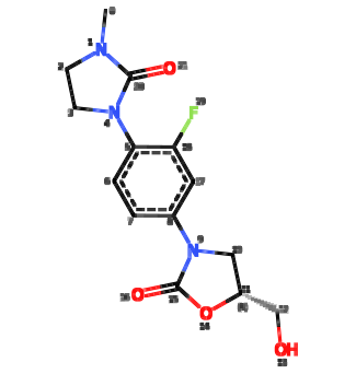 CN1CCN(c2ccc(N3C[C@H](CO)OC3=O)cc2F)C1=O